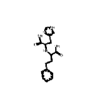 O=C(O)C(CCc1ccccc1)NC(Cc1c[nH]cn1)C(=O)O